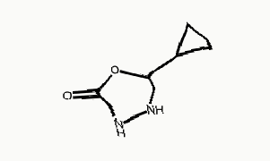 O=C1NNC(C2CC2)O1